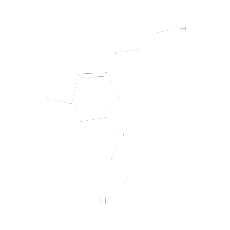 OCCOc1cc(Br)cc(OCCO)c1